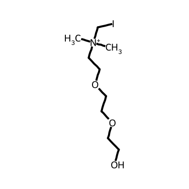 C[N+](C)(CI)CCOCCOCCO